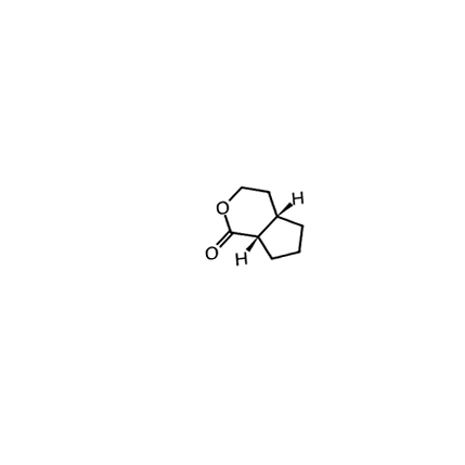 O=C1OCC[C@@H]2CCC[C@H]12